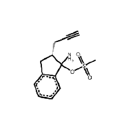 C#CC[C@H]1Cc2ccccc2C1(N)OS(C)(=O)=O